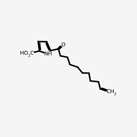 C=CCCCCCCCCC(=O)c1ccc(C(=O)O)[nH]1